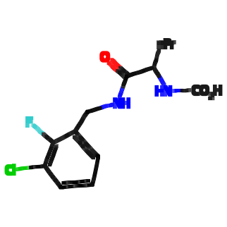 CCCC(NC(=O)O)C(=O)NCc1cccc(Cl)c1F